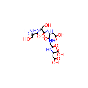 N[C@@H](CO)C(=O)N[C@@H](CO)C(=O)N[C@@H](CC(=O)O)C(=O)NCC(=O)N[C@@H](CC(=O)O)C(=O)O